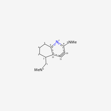 CNCC1CCCc2nc(NC)c#cc21